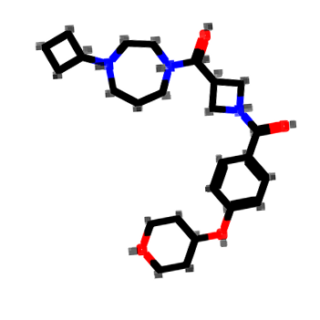 O=C(c1ccc(OC2CCOCC2)cc1)N1CC(C(=O)N2CCCN(C3CCC3)CC2)C1